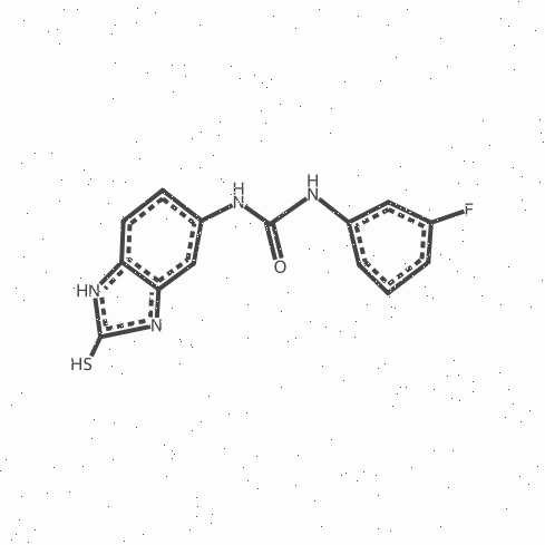 O=C(Nc1cccc(F)c1)Nc1ccc2[nH]c(S)nc2c1